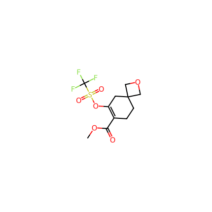 COC(=O)C1=C(OS(=O)(=O)C(F)(F)F)CC2(CC1)COC2